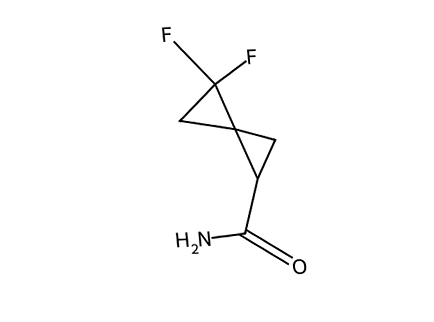 NC(=O)C1CC12CC2(F)F